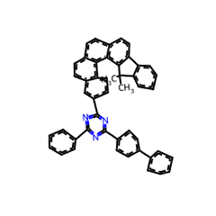 CC1(C)c2ccccc2-c2ccc3ccc4ccc5cc(-c6nc(-c7ccccc7)nc(-c7ccc(-c8ccccc8)cc7)n6)ccc5c4c3c21